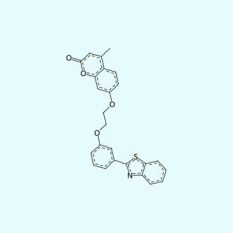 Cc1cc(=O)oc2cc(OCCOc3cccc(-c4nc5ccccc5s4)c3)ccc12